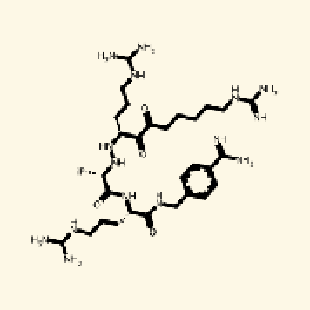 CC(C)[C@H](NN[C@@H](CCCNC(N)N)C(=O)C(=O)CCCCCNC(=N)N)C(=O)N[C@@H](CCCNC(N)N)C(=O)NCc1ccc(C(=N)N)cc1